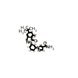 CC(C)(C)c1cc(F)c2c(=O)n(-c3cccc(-n4cc(C(N)=O)cn4)c3)ncc2c1